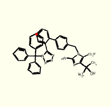 CCCc1nc(C(C)(C)O)c(C(=O)O)n1Cc1ccc(-c2ccccc2-c2nnnn2C(c2ccccc2)(c2ccccc2)c2ccccc2)cc1